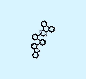 C1=NC2c3ccccc3-c3ccccc3C2N=C1c1ccccc1-c1ccccc1-c1cccc2c1sc1ccccc12